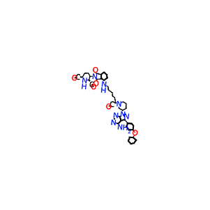 Nc1ncnc2c1c(-c1ccc(Oc3ccccc3)cc1)nn2[C@@H]1CCCN(C(=C=O)CCCCCNc2cccc3c2C(=O)N(C2CCC(=C=O)NC2=C=O)C3=O)C1